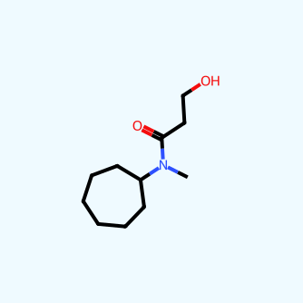 CN(C(=O)CCO)C1CCCCCC1